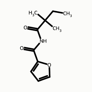 CCC(C)(C)C(=O)NC(=O)c1ccco1